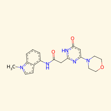 Cn1ccc2c(NC(=O)Cc3nc(N4CCOCC4)cc(=O)[nH]3)cccc21